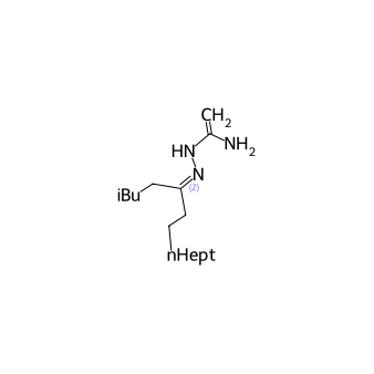 C=C(N)N/N=C(/CCCCCCCCC)CC(C)CC